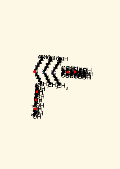 CCCCCCCC/C=C\CCCCCCCC(=O)O.CCCCCCCC/C=C\CCCCCCCC(=O)O.CCCCCCCC/C=C\CCCCCCCC(=O)O.OCC(O)CO.OCC(O)CO.OCC(O)CO.OCC(O)CO.OCC(O)CO.OCC(O)CO.OCC(O)CO.OCC(O)CO.OCC(O)CO.OCC(O)CO